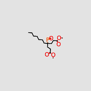 CCCCCCCC(CCC(=O)OC)(CCC(=O)OC)P=O